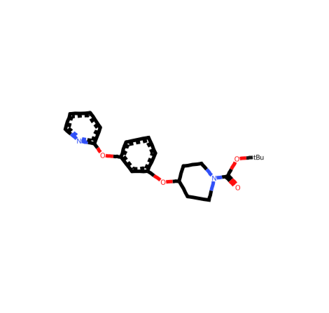 CC(C)(C)OC(=O)N1CCC(Oc2cccc(Oc3ccccn3)c2)CC1